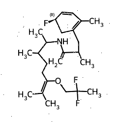 C=C(NC(C)C(C)CCC(OCC(C)(F)F)=C(C)C)C(C)CC1=C(C)C=C[C@H](F)C1